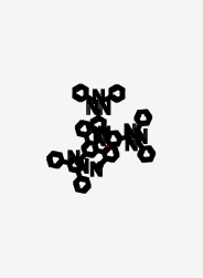 N#Cc1ccccc1-c1cc(-c2nc(-c3ccccc3)cc(-c3ccccc3)n2)cc(-c2ccccc2C#N)c1-n1c2ccc(-c3nc(-c4ccccc4)nc(-c4ccccc4)n3)cc2c2cc(-c3nc(-c4ccccc4)nc(-c4ccccc4)n3)ccc21